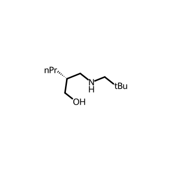 CCC[C@@H](CO)CNCC(C)(C)C